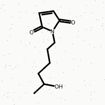 CC(O)CCCCN1C(=O)C=CC1=O